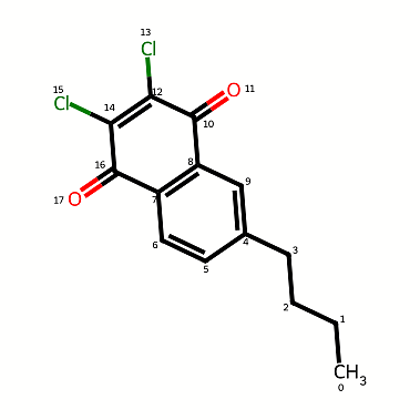 CCCCc1ccc2c(c1)C(=O)C(Cl)=C(Cl)C2=O